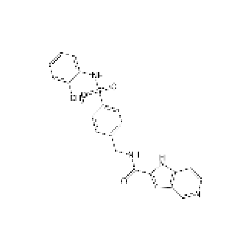 Cc1ccccc1NS(=O)(=O)c1ccc(CNC(=O)c2cc3cnccc3[nH]2)cc1